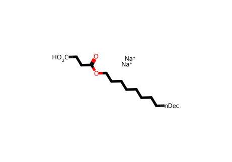 CCCCCCCCCCCCCCCCCCOC(=O)CCC(=O)O.[Na+].[Na+]